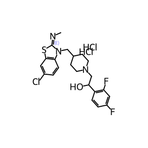 C/N=c1/sc2cc(Cl)ccc2n1CC1CCN(CC(O)c2ccc(F)cc2F)CC1.Cl.Cl